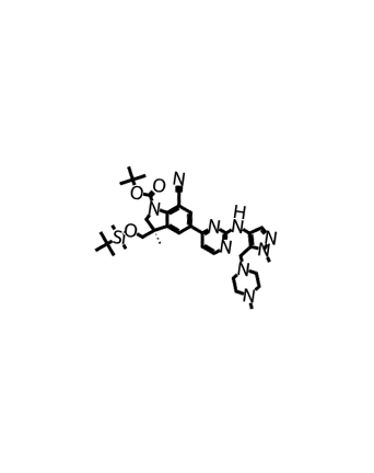 CN1CCN(Cc2c(Nc3nccc(-c4cc(C#N)c5c(c4)[C@@](C)(CO[Si](C)(C)C(C)(C)C)CN5C(=O)OC(C)(C)C)n3)cnn2C)CC1